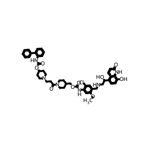 COc1cc(NC(=O)OCC2CCN(C(=O)CCN3CCC(OC(=O)Nc4ccccc4-c4ccccc4)CC3)CC2)c(Cl)cc1CNCC(O)c1ccc(O)c2[nH]c(=O)ccc12